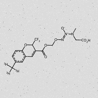 [2H]C([2H])([2H])c1ccc2c(c1)C=C(C(=O)OCON=[N+]([O-])N(C)CC(=O)O)C(C(F)(F)F)O2